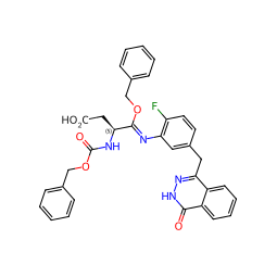 O=C(O)C[C@H](NC(=O)OCc1ccccc1)C(=Nc1cc(Cc2n[nH]c(=O)c3ccccc23)ccc1F)OCc1ccccc1